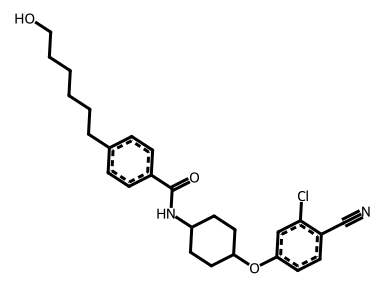 N#Cc1ccc(OC2CCC(NC(=O)c3ccc(CCCCCCO)cc3)CC2)cc1Cl